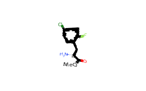 COC(=O)[C@H](N)Cc1ccc(Cl)cc1F